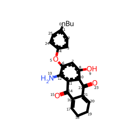 CCCCc1ccc(Oc2cc(O)c3c(c2N)C(=O)C2=CCCC=C2C3=O)cc1